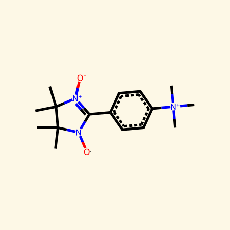 CC1(C)N([O])C(c2ccc([N+](C)(C)C)cc2)=[N+]([O-])C1(C)C